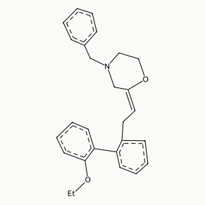 CCOc1ccccc1-c1ccccc1C/C=C1\CN(Cc2ccccc2)CCO1